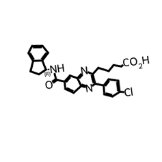 O=C(O)CCCCc1nc2cc(C(=O)N[C@@H]3CCc4ccccc43)ccc2nc1-c1ccc(Cl)cc1